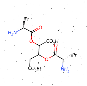 CCOC(=O)CC(OC(=O)[C@@H](N)C(C)C)C(OC(=O)[C@@H](N)C(C)C)C(=O)O